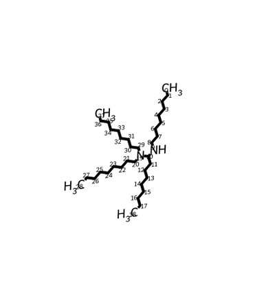 CCCCCCCCCNC(CCCCCCCC)N(CCCCCCCCC)CCCCCCCCC